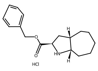 Cl.O=C(OCc1ccccc1)[C@H]1C[C@@H]2CCCCC[C@@H]2N1